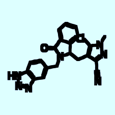 Cn1nc(C#N)c(CC2c3ccccc3C(=O)N2Cc2ccc3[nH]nnc3c2)c1Cl